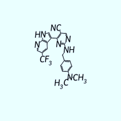 CN(C)c1ccc(CNc2ncc(C#N)c(-c3c[nH]c4ncc(C(F)(F)F)cc34)n2)cc1